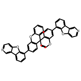 c1ccc2c(c1)Oc1cc(-c3cccc4c3oc3ccncc34)ccc1C21c2ccccc2Oc2cc(-c3cccc4c3oc3ccncc34)ccc21